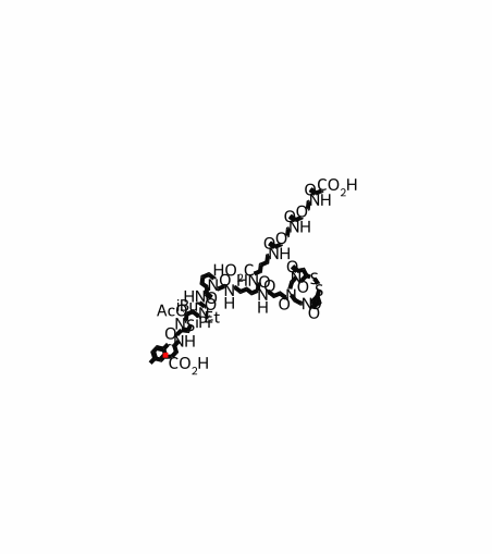 CCC(C)[C@H](NC(=O)C1CCCCN1CC(=O)NCCCCC(NC(=O)CCC(=O)N1CCN2C(=O)CC(SCSC3CC(=O)N(CC1)C3=O)C2=O)C(=O)NC(CCCCNC(=O)COCCNC(=O)COCCNC(=O)CC(=O)O)C(=O)O)C(=O)N(CC)[C@H](C[C@@H](OC(C)=O)c1nc(C(=O)N[C@@H](Cc2ccc(C)cc2)CC(C)C(=O)O)cs1)C(C)C